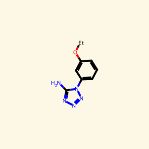 CCOc1cccc(-n2nnnc2N)c1